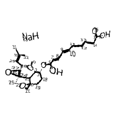 CO[C@@H]1[C@H](OC(O)/C=C/C=C/C=C/C=C/C(=O)O)CC[C@]2(CO2)[C@H]1[C@@]1(C)O[C@@H]1CC=C(C)C.[NaH]